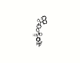 O=C(Nc1ccc(C(F)(F)F)cc1)N1CCC2(CCN(C(=O)c3cccc4cccnc34)CC2)C1